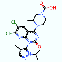 Cc1cnn(C(C)C)c1-n1c(=O)nc(N2CCN(C(=O)O)CC2C)c2cc(Cl)c(Cl)nc21